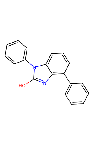 Oc1nc2c(-c3ccccc3)cccc2n1-c1ccccc1